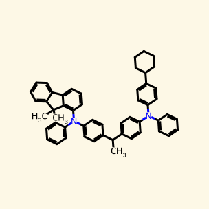 CC(c1ccc(N(c2ccccc2)c2ccc(C3CCCCC3)cc2)cc1)c1ccc(N(c2ccccc2)c2cccc3c2C(C)(C)c2ccccc2-3)cc1